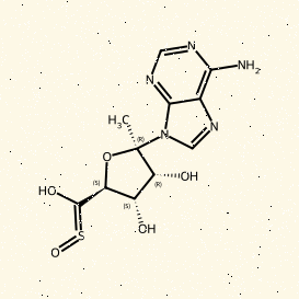 C[C@@]1(n2cnc3c(N)ncnc32)O[C@H](C(O)=S=O)[C@@H](O)[C@H]1O